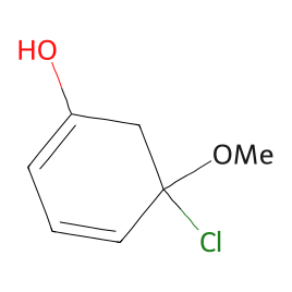 COC1(Cl)C=CC=C(O)C1